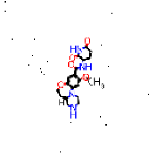 COc1cc2c(cc1C(=O)N[C@H]1CCC(=O)NC1=O)OCC[C@H]1CNCCN21